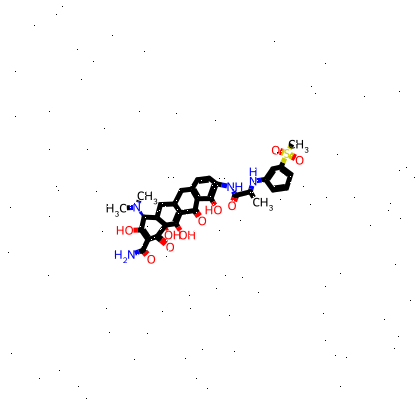 CC(Nc1cccc(S(C)(=O)=O)c1)C(=O)Nc1ccc2c(c1O)C(=O)C1=C(O)[C@]3(O)C(=O)C(C(N)=O)=C(O)[C@@H](N(C)C)C3CC1C2